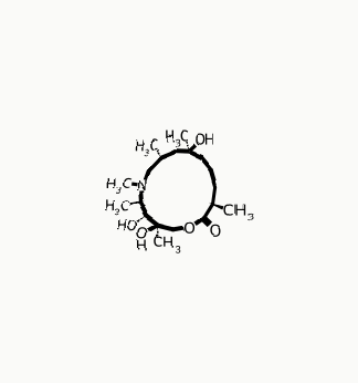 C[C@H]1CN(C)[C@H](C)[C@@H](O)[C@](C)(O)COC(=O)[C@H](C)CCC[C@](C)(O)C1